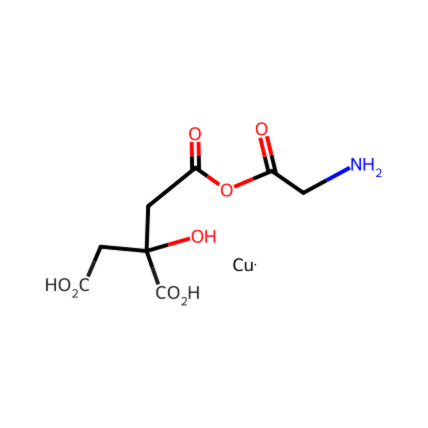 NCC(=O)OC(=O)CC(O)(CC(=O)O)C(=O)O.[Cu]